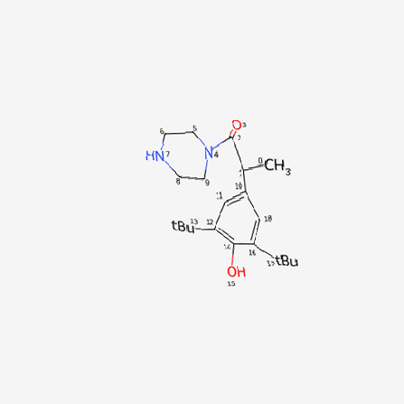 CC(C(=O)N1CCNCC1)c1cc(C(C)(C)C)c(O)c(C(C)(C)C)c1